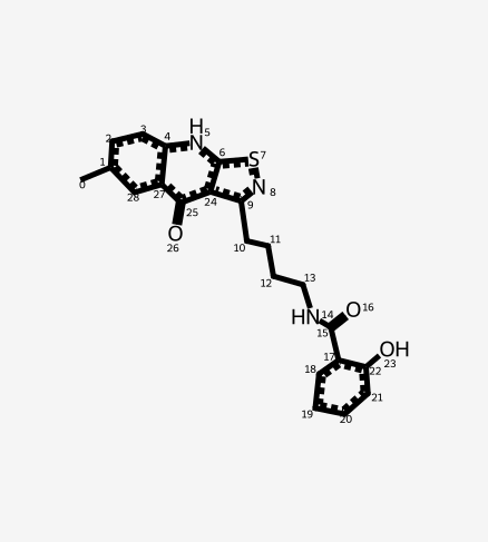 Cc1ccc2[nH]c3snc(CCCCNC(=O)c4ccccc4O)c3c(=O)c2c1